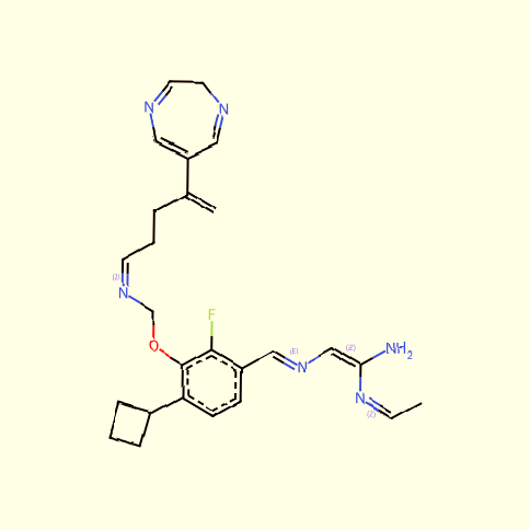 C=C(CC/C=N\COc1c(C2CCC2)ccc(/C=N/C=C(N)\N=C/C)c1F)C1=CN=CCN=C1